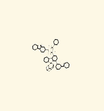 c1ccc(-c2nc(-c3ccc4c(c3)oc3ccccc34)nc(-c3ccc(-c4cccc5c4oc4ccccc45)c4c3-c3ccccc3C43C4CC5CC(C4)CC3C5)n2)cc1